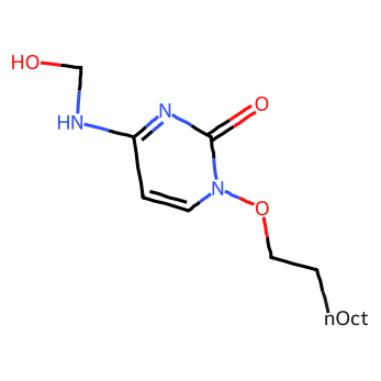 CCCCCCCCCCOn1ccc(NCO)nc1=O